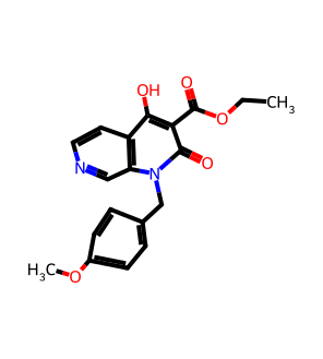 CCOC(=O)c1c(O)c2ccncc2n(Cc2ccc(OC)cc2)c1=O